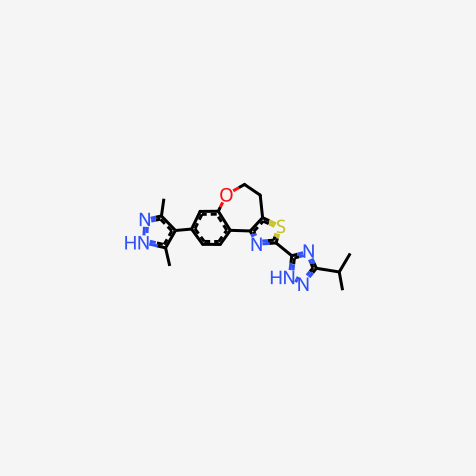 Cc1n[nH]c(C)c1-c1ccc2c(c1)OCCc1sc(-c3nc(C(C)C)n[nH]3)nc1-2